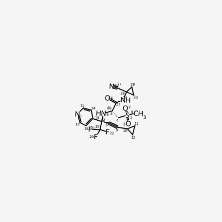 CS(=O)(=O)C[C@H](N[C@@](C#CC1CC1)(c1ccncc1)C(F)(F)F)C(=O)NC1(C#N)CC1